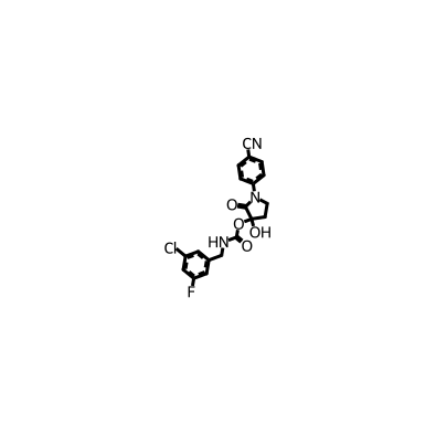 N#Cc1ccc(N2CCC(O)(OC(=O)NCc3cc(F)cc(Cl)c3)C2=O)cc1